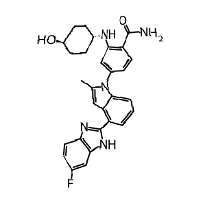 Cc1cc2c(-c3nc4ccc(F)cc4[nH]3)cccc2n1-c1ccc(C(N)=O)c(N[C@H]2CC[C@H](O)CC2)c1